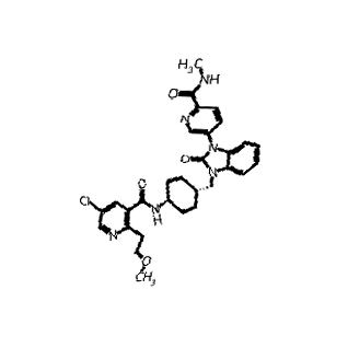 CNC(=O)c1ccc(-n2c(=O)n(C[C@H]3CC[C@H](NC(=O)c4cc(Cl)cnc4CCOC)CC3)c3ccccc32)cn1